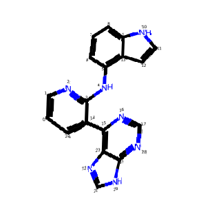 c1cnc(Nc2cccc3[nH]ccc23)c(-c2ncnc3[nH]cnc23)c1